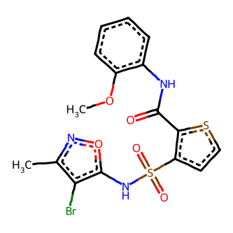 COc1ccccc1NC(=O)c1sccc1S(=O)(=O)Nc1onc(C)c1Br